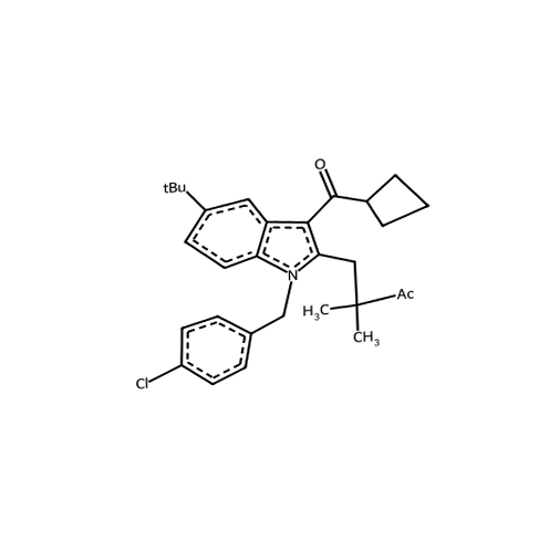 CC(=O)C(C)(C)Cc1c(C(=O)C2CCC2)c2cc(C(C)(C)C)ccc2n1Cc1ccc(Cl)cc1